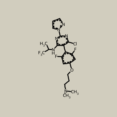 CC(Nc1nc(-n2cccn2)nc(Cl)c1-c1c(F)cc(OCCCN(C)C)cc1F)C(F)(F)F